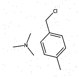 CN(C)C.Cc1ccc(CCl)cc1